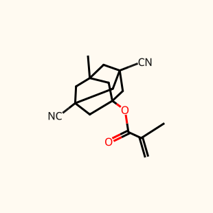 C=C(C)C(=O)OC12CC3(C)CC(C#N)(CC(C#N)(C3)C1)C2